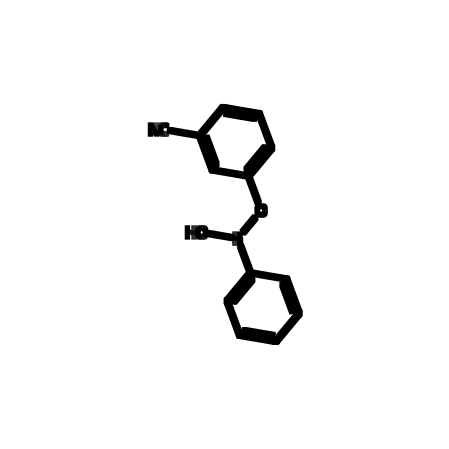 N#Cc1cccc(OB(O)c2ccccc2)c1